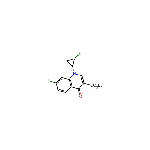 CCOC(=O)c1cn([C@@H]2C[C@H]2F)c2cc(F)ccc2c1=O